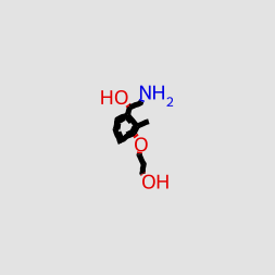 Cc1c(OCCCO)cccc1C(O)CN